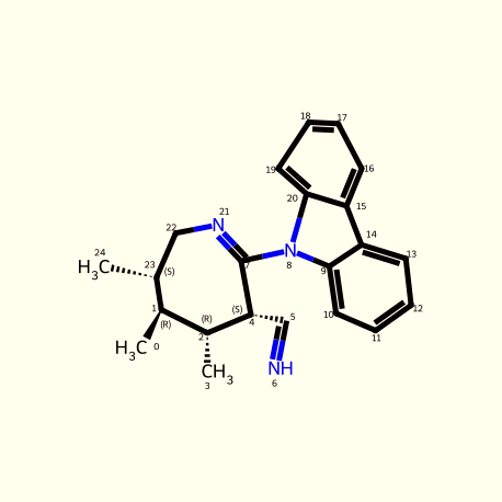 C[C@@H]1[C@@H](C)[C@@H](C=N)C(n2c3ccccc3c3ccccc32)=NC[C@H]1C